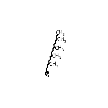 C/C=C/C(C)=C/CC/C(C)=C/CC/C(C)=C/CC/C(C)=C/CCc1ccsc1